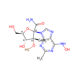 Cc1nc(NO)c2ncn([C@]3(C(N)=O)O[C@H](CO)[C@@H](O)[C@@]3([GeH3])OS)c2n1